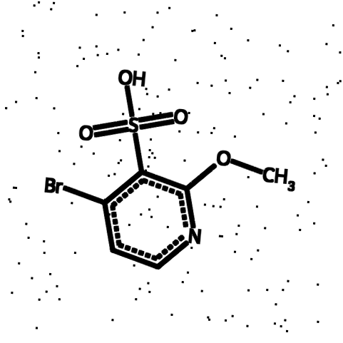 COc1nccc(Br)c1S(=O)(=O)O